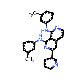 Cc1cccc(Nc2nc(-c3cccnc3)cc3ccnc(Nc4cccc(C(F)(F)F)c4)c23)c1